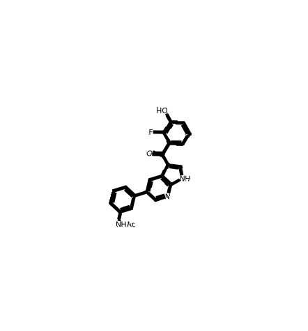 CC(=O)Nc1cccc(-c2cnc3[nH]cc(C(=O)c4cccc(O)c4F)c3c2)c1